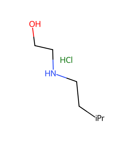 CC(C)CCNCCO.Cl